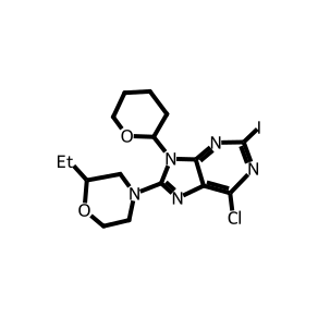 CCC1CN(c2nc3c(Cl)nc(I)nc3n2C2CCCCO2)CCO1